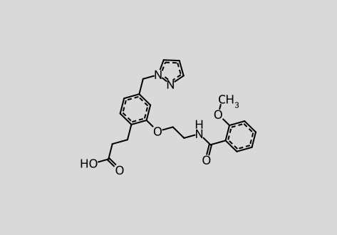 COc1ccccc1C(=O)NCCOc1cc(Cn2cccn2)ccc1CCC(=O)O